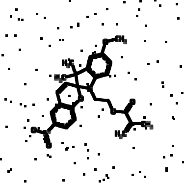 C=C(C)C(=O)OCCN1c2ccc(OC)cc2C(C)(C)C12C=Cc1cc([N+](=O)[O-])ccc1O2